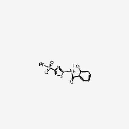 CC(C)S(=O)(=O)c1csc(NC(=O)c2ccccc2O)n1